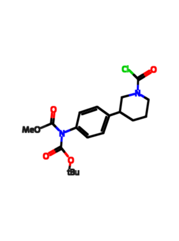 COC(=O)N(C(=O)OC(C)(C)C)c1ccc(C2CCCN(C(=O)Cl)C2)cc1